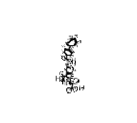 CN1Cc2sc(NC(=O)C(=O)O)c(C(=O)O)c2C[C@H]1CNC(=O)c1ccc(-c2ccccc2)cc1